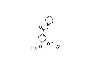 COc1ccc(C(=O)CN2C=CC=CC2)cc1OCC1CC1